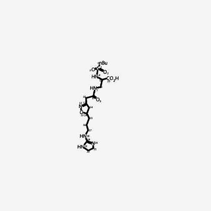 CCCCS(=O)(=O)NC(CNC(=O)CC1=NOC(CCCNC2=NCCN2)C1)C(=O)O